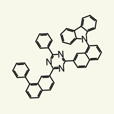 c1ccc(-c2nc(-c3ccc4cccc(-c5ccccc5)c4c3)nc(-c3ccc4cccc(-n5c6ccccc6c6ccccc65)c4c3)n2)cc1